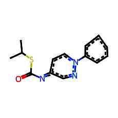 CC(C)SC(=O)N=c1ccn(-c2ccccc2)nc1